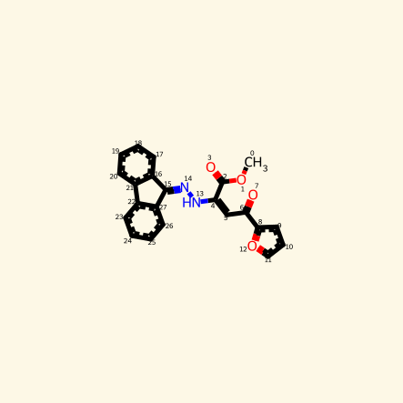 COC(=O)C(=CC(=O)c1ccco1)NN=C1c2ccccc2-c2ccccc21